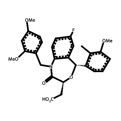 COc1ccc(CN2C(=O)[C@H](CC(=O)O)O[C@@H](c3cccc(OC)c3C)c3cc(F)ccc32)c(OC)c1